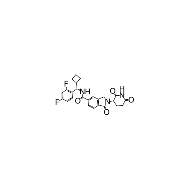 O=C1CC[C@@H](N2Cc3cc(C(=O)N[C@@H](c4ccc(F)cc4F)C4CCC4)ccc3C2=O)C(=O)N1